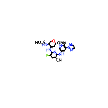 COc1ncc(Nc2nc(N[C@@H]3CCOC[C@@H]3NC(=O)O)c(F)cc2C#N)cc1-n1nccn1